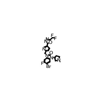 CN1CC[C@H](n2c(=O)n(Cc3ccc(-c4nnc(C(F)F)o4)cn3)c3cc(F)c(Br)cc32)C1